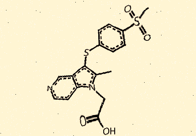 Cc1c(Sc2ccc(S(C)(=O)=O)cc2)c2cnccc2n1CC(=O)O